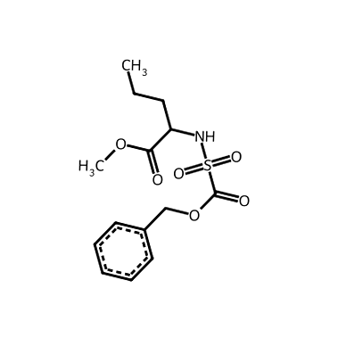 CCCC(NS(=O)(=O)C(=O)OCc1ccccc1)C(=O)OC